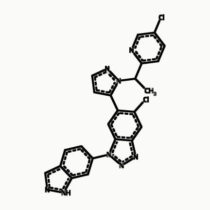 CC(c1ccc(Cl)cn1)n1nccc1-c1cc2c(cc1Cl)nnn2-c1ccc2cn[nH]c2c1